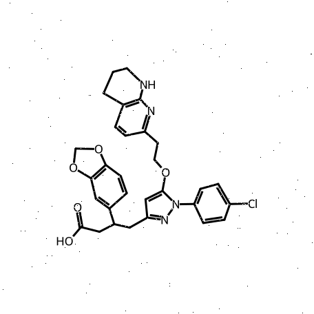 O=C(O)CC(Cc1cc(OCCc2ccc3c(n2)NCCC3)n(-c2ccc(Cl)cc2)n1)c1ccc2c(c1)OCO2